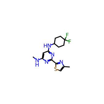 CNc1cc(NC2CCC(F)(F)CC2)nc(-c2nc(C)cs2)n1